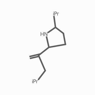 C=C(CC(C)C)C1CCC(C(C)C)N1